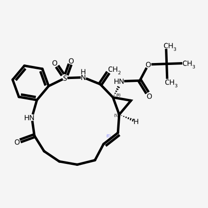 C=C1NS(=O)(=O)c2ccccc2NC(=O)CCCC/C=C/[C@@H]2C[C@]12NC(=O)OC(C)(C)C